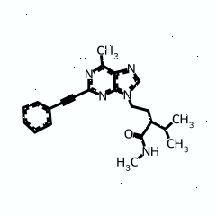 CNC(=O)C(CCn1cnc2c(C)nc(C#Cc3ccccc3)nc21)C(C)C